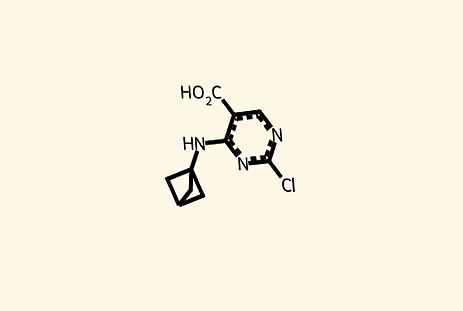 O=C(O)c1cnc(Cl)nc1NC12CC(C1)C2